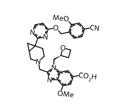 COc1cc(C#N)ccc1COc1ccnc(C23CCN(Cc4nc5c(OC)cc(C(=O)O)cc5n4C[C@@H]4CCO4)CC2C3)n1